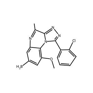 Bc1cc(OC)c2c(c1)nc(C)c1nnc(-c3ccccc3Cl)n12